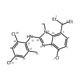 CCC(CC)c1ccc(Cl)c2nc(Nc3c(C)cc(Cl)cc3Cl)n(C)c12